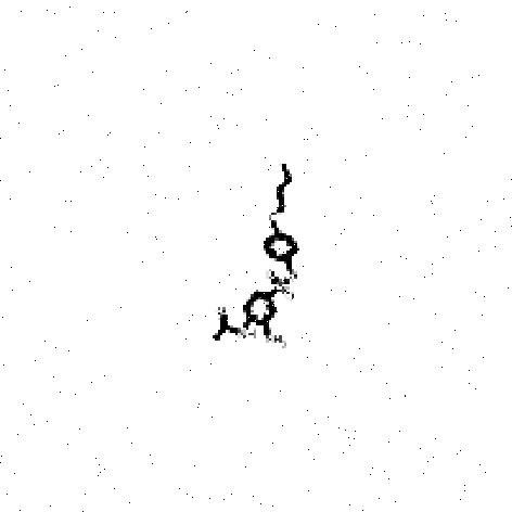 CCCCOc1ccc(OS(=O)(=O)c2ccc(NC(C)=O)c(N)c2)cc1